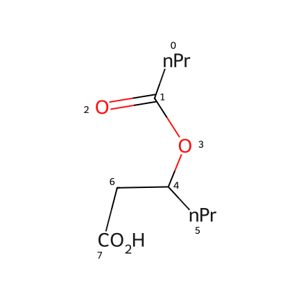 CCCC(=O)OC(CCC)CC(=O)O